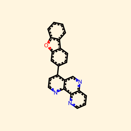 c1cnc2c(c1)ncc1c(-c3ccc4c(c3)oc3ccccc34)ccnc12